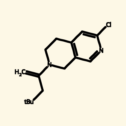 C=C(CC(C)(C)C)N1CCc2cc(Cl)ncc2C1